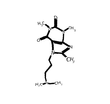 Cc1nc2c(c(=O)n(C)c(=O)n2C)n1CCCN(C)C